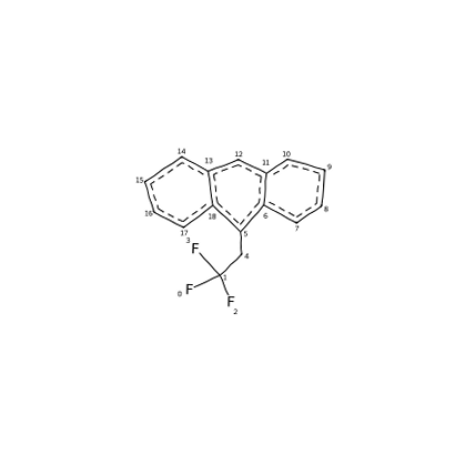 FC(F)(F)Cc1c2ccccc2cc2ccccc12